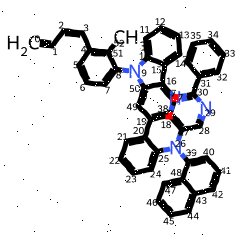 C=C/C=C\c1cccc(-n2c3ccccc3c3ccc(-c4ccccc4N(c4cnc(-c5ccccc5)nc4)c4cccc5ccccc45)cc32)c1C